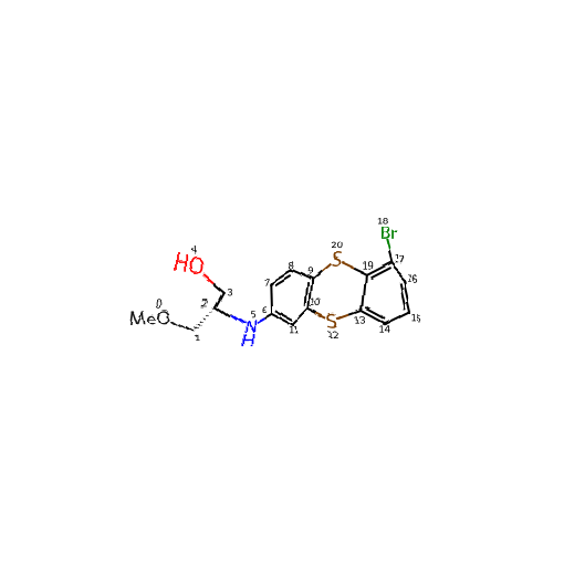 COC[C@H](CO)Nc1ccc2c(c1)Sc1cccc(Br)c1S2